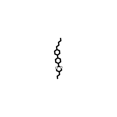 CCCCCC1CCC(C2CCC(C3OCC(CCC)CO3)CC2)CC1